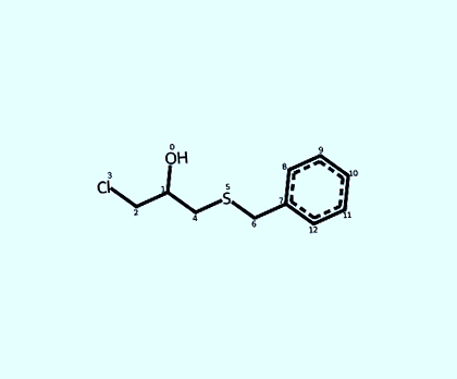 OC(CCl)CSCc1ccccc1